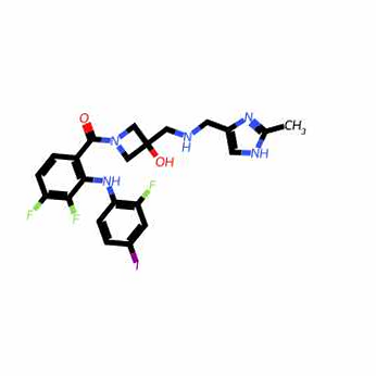 Cc1nc(CNCC2(O)CN(C(=O)c3ccc(F)c(F)c3Nc3ccc(I)cc3F)C2)c[nH]1